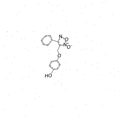 [O-][n+]1onc(-c2ccccc2)c1COc1ccc(O)cc1